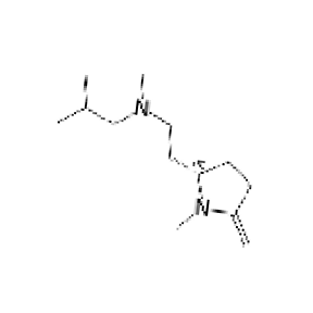 C=C1CC[C@@H](CCN(C)CC(C)C)N1C